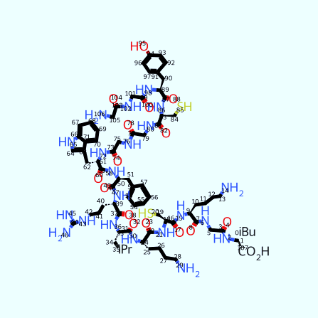 CC[C@H](C)[C@H](NC(=O)CNC(=O)[C@H](CCCCN)NC(=O)[C@H](CS)NC(=O)[C@H](CCCCN)NC(=O)[C@H](CC(C)C)NC(=O)[C@H](CCCNC(=N)N)NC(=O)[C@H](Cc1ccccc1)NC(=O)[C@H](Cc1c[nH]c2ccccc12)NC(=O)CNC(=O)CNC(=O)[C@H](CS)NC(=O)[C@H](Cc1ccc(O)cc1)NC(=O)CNC(=O)CN)C(=O)O